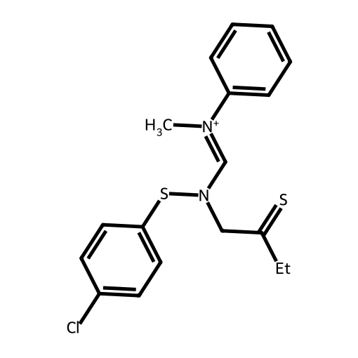 CCC(=S)CN(C=[N+](C)c1ccccc1)Sc1ccc(Cl)cc1